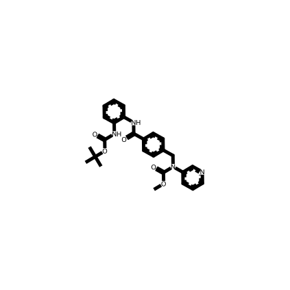 COC(=O)N(Cc1ccc(C(=O)Nc2ccccc2NC(=O)OC(C)(C)C)cc1)c1cccnc1